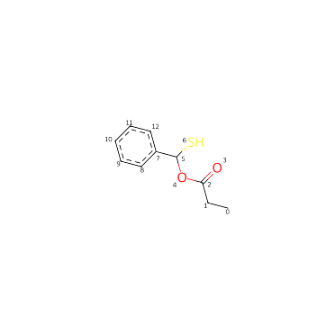 CCC(=O)OC(S)c1ccccc1